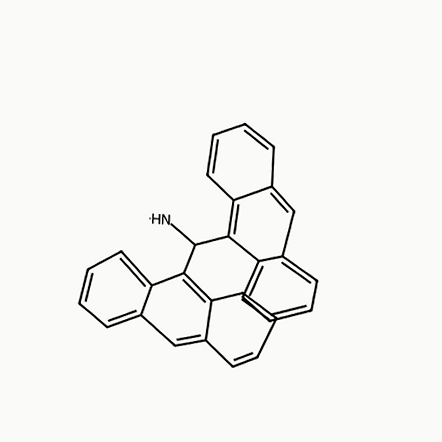 [NH]C(c1c2ccccc2cc2ccccc12)c1c2ccccc2cc2ccccc12